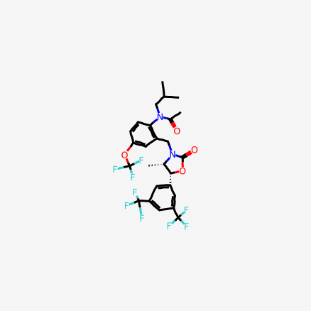 CC(=O)N(CC(C)C)c1ccc(OC(F)(F)F)cc1CN1C(=O)O[C@H](c2cc(C(F)(F)F)cc(C(F)(F)F)c2)[C@@H]1C